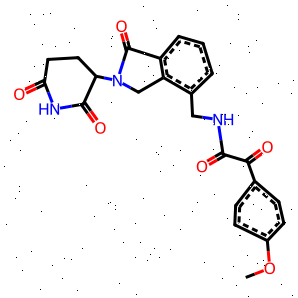 COc1ccc(C(=O)C(=O)NCc2cccc3c2CN(C2CCC(=O)NC2=O)C3=O)cc1